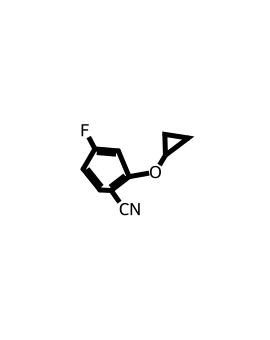 N#Cc1ccc(F)cc1OC1CC1